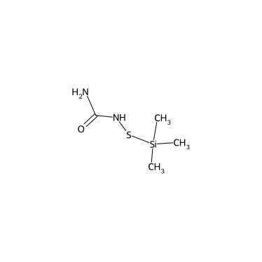 C[Si](C)(C)SNC(N)=O